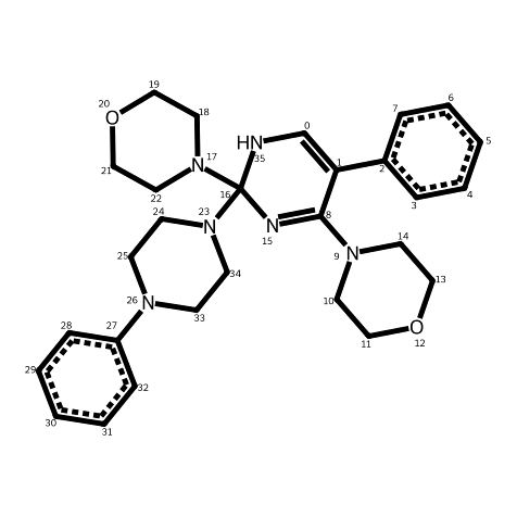 C1=C(c2ccccc2)C(N2CCOCC2)=NC(N2CCOCC2)(N2CCN(c3ccccc3)CC2)N1